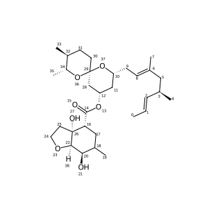 C/C=C/[C@H](C)C/C(C)=C/C[C@@H]1C[C@H](OC(=O)[C@@H]2CC(C)[C@@H](O)[C@H]3OCC[C@]32O)C[C@]2(CC[C@H](C)[C@@H](C)O2)O1